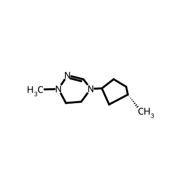 C[C@H]1CCC(N2C=NN(C)CC2)C1